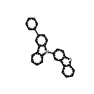 c1ccc(-c2ccc3c(c2)c2ccccc2n3-c2ccc3sc4ccccc4c3c2)cc1